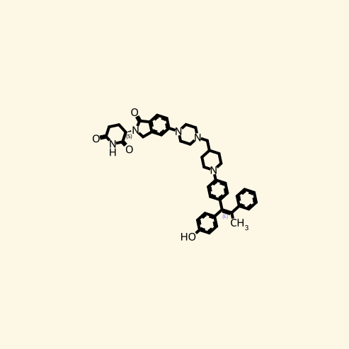 C/C(=C(\c1ccc(O)cc1)c1ccc(N2CCC(CN3CCN(c4ccc5c(c4)CN([C@H]4CCC(=O)NC4=O)C5=O)CC3)CC2)cc1)c1ccccc1